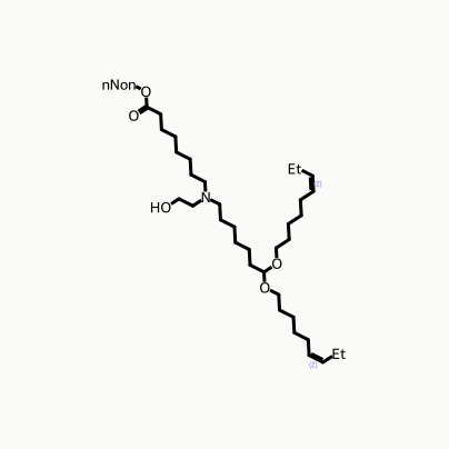 CC/C=C\CCCCCOC(CCCCCCN(CCO)CCCCCCCC(=O)OCCCCCCCCC)OCCCCC/C=C\CC